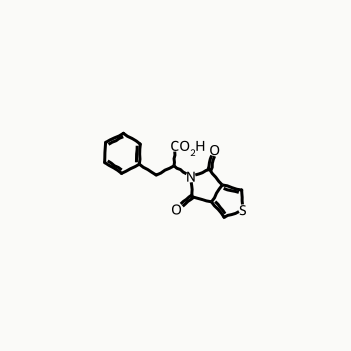 O=C(O)C(Cc1ccccc1)N1C(=O)c2cscc2C1=O